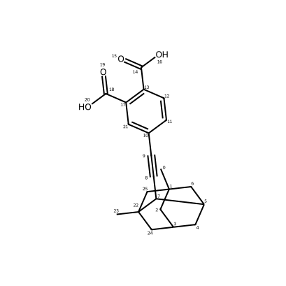 CC12CC3CC(C1)C(C#Cc1ccc(C(=O)O)c(C(=O)O)c1)C(C)(C3)C2